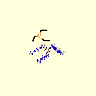 CCP(CC)CC.[N-]=[N+]=[N][Au]([N]=[N+]=[N-])[N]=[N+]=[N-]